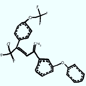 C=C(/C=C(\c1ccc(OC(F)(F)F)cc1)C(F)(F)Cl)c1cccc(Oc2ccccc2)c1